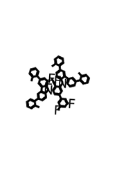 Cc1ccccc1-c1ccc2c(c1)c1cc(-c3ccccc3C)ccc1n2-c1cc(-c2cc(F)cc(F)c2)cc(-n2c3ccc(-c4ccccc4C)cc3c3cc(-c4ccccc4C)ccc32)c1C(F)(F)F